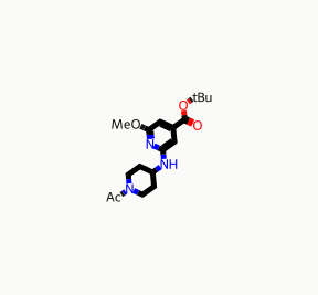 COc1cc(C(=O)OC(C)(C)C)cc(NC2CCN(C(C)=O)CC2)n1